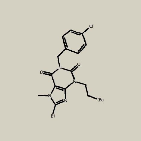 CCc1nc2c(c(=O)n(Cc3ccc(Cl)cc3)c(=O)n2CCC(C)(C)C)n1C